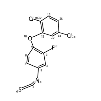 Fc1cc(N=C=S)ccc1Oc1cc(Cl)ccc1Cl